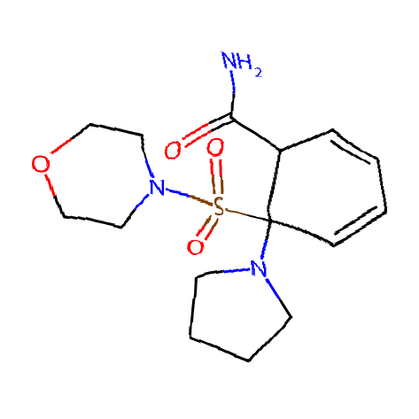 NC(=O)C1C=CC=CC1(N1CCCC1)S(=O)(=O)N1CCOCC1